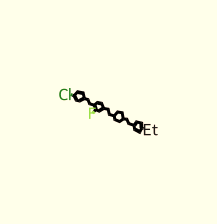 CCc1ccc(CCC2CCC(CCc3ccc(CCc4ccc(Cl)cc4)c(F)c3)CC2)cc1